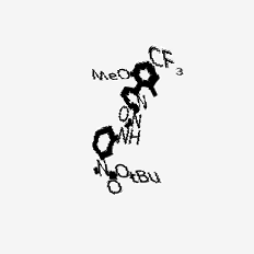 COc1cc(C(F)(F)F)cc(C)c1-c1ccc2oc(NC3CCCC(N(C)C(=O)OC(C)(C)C)C3)nc2n1